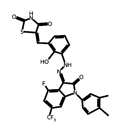 Cc1ccc(N2C(=O)C(=NNc3cccc(C=C4SC(=O)NC4=O)c3O)c3c(F)cc(C(F)(F)F)cc32)cc1C